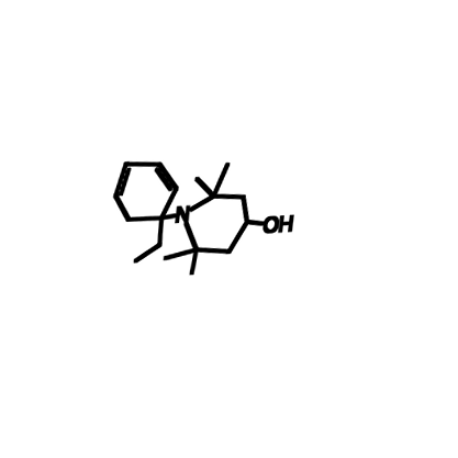 CCC1(N2C(C)(C)CC(O)CC2(C)C)C=CC=CC1